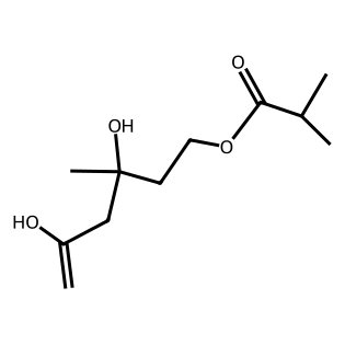 C=C(O)CC(C)(O)CCOC(=O)C(C)C